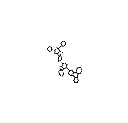 c1ccc(-c2nc(-c3ccccc3)c3oc4cc(-c5ccc(-c6ccc7c8ccccc8c8ccccc8c7c6)c6c5oc5ccccc56)ccc4c3n2)cc1